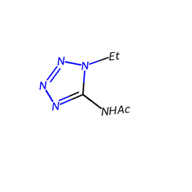 CCn1nnnc1NC(C)=O